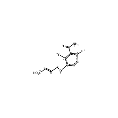 NC(=O)c1c(F)ccc(OC/C=C/C(=O)O)c1F